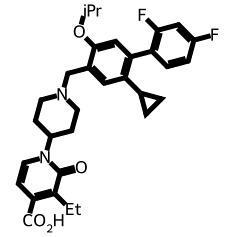 CCc1c(C(=O)O)ccn(C2CCN(Cc3cc(C4CC4)c(-c4ccc(F)cc4F)cc3OC(C)C)CC2)c1=O